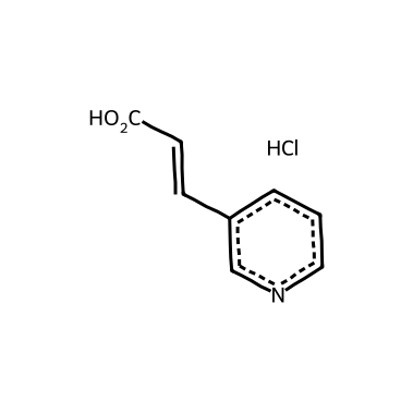 Cl.O=C(O)C=Cc1cccnc1